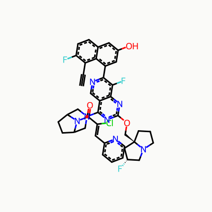 C#Cc1c(F)ccc2cc(O)cc(-c3ncc4c(N5CC6CCC(C5)N6C(=O)/C(Cl)=C/c5ccccn5)nc(OC[C@@]56CCCN5C[C@H](F)C6)nc4c3F)c12